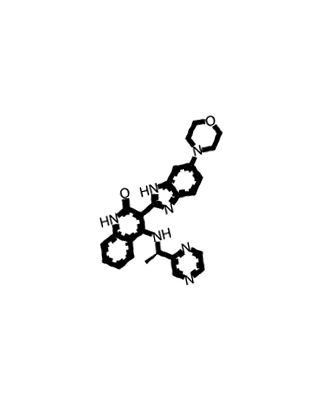 C[C@@H](Nc1c(-c2nc3ccc(N4CCOCC4)cc3[nH]2)c(=O)[nH]c2ccccc12)c1cnccn1